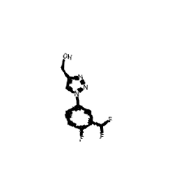 OCc1cn(-c2ccc(F)c(C(F)F)c2)nn1